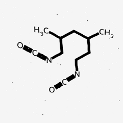 CC(CCN=C=O)CC(C)CN=C=O